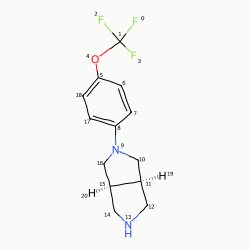 FC(F)(F)Oc1ccc(N2C[C@H]3CNC[C@H]3C2)cc1